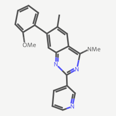 CNc1nc(-c2cccnc2)nc2cc(-c3ccccc3OC)c(C)cc12